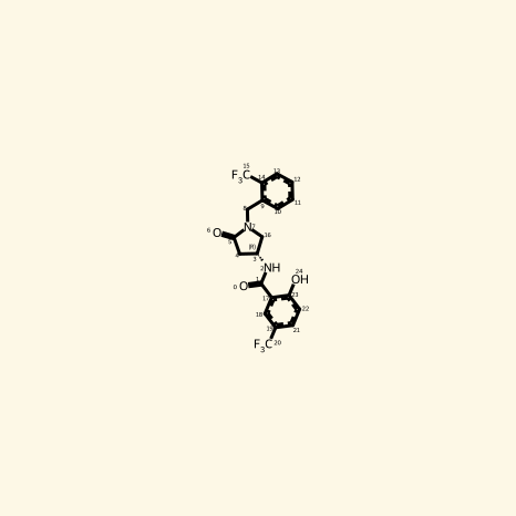 O=C(N[C@@H]1CC(=O)N(Cc2ccccc2C(F)(F)F)C1)c1cc(C(F)(F)F)ccc1O